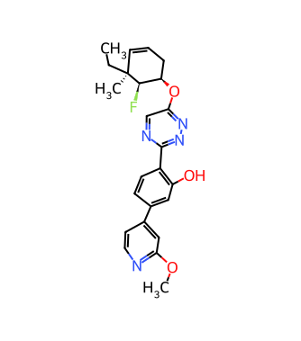 CC[C@@]1(C)C=CC[C@@H](Oc2cnc(-c3ccc(-c4ccnc(OC)c4)cc3O)nn2)[C@H]1F